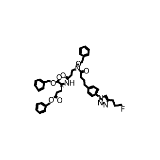 O=C(CCN(OCc1ccccc1)C(=O)CCCc1ccc(-n2cc(CCCF)nn2)cc1)N[C@@H](CCC(=O)OCc1ccccc1)C(=O)OCc1ccccc1